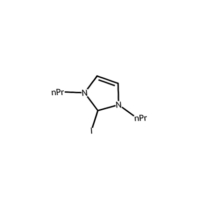 CCCN1C=CN(CCC)C1I